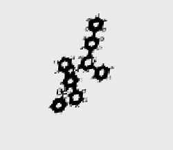 O=P1(c2ccccc2)c2ccccc2-c2cc3c(cc21)c1ccccc1n3-c1cc(-c2ccccc2)nc(-c2ccc(-c3ccccc3)cc2)c1